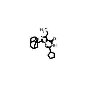 CCc1nc(C23CC4CC(CC(C4)C2)C3)n2nc(C3CCCC3)[nH]c(=O)c12